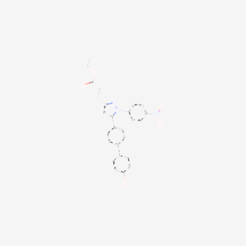 CCOC(=O)CCc1cc(-c2ccc(-c3ccc(OC)cc3)cc2)n(-c2ccc([N+](=O)[O-])cc2)n1